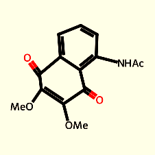 COC1=C(OC)C(=O)c2c(NC(C)=O)cccc2C1=O